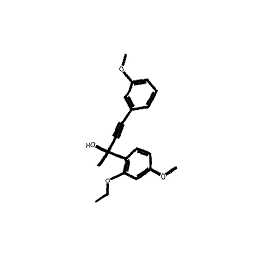 CCOc1cc(OC)ccc1C(C)(O)C#Cc1cccc(OC)c1